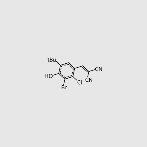 CC(C)(C)c1cc(C=C(C#N)C#N)c(Cl)c(Br)c1O